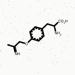 CC(=N)COc1ccc(CC(N)C(=O)O)cc1